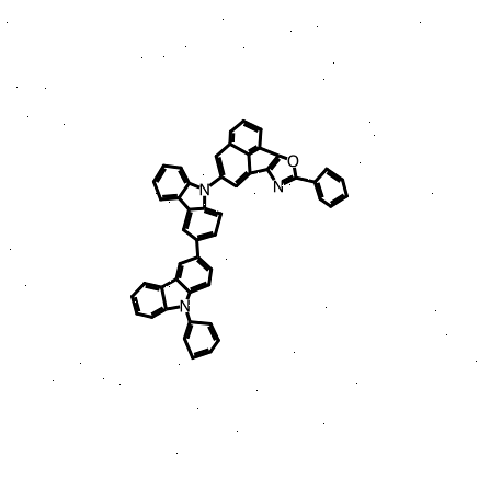 c1ccc(-c2nc3c(o2)-c2cccc4cc(-n5c6ccccc6c6cc(-c7ccc8c(c7)c7ccccc7n8-c7ccccc7)ccc65)cc-3c24)cc1